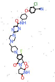 N#Cc1ccc(O[C@H]2CC[C@H](NC(=O)c3cnc(N4CCN(CC5CCN(c6cc7c(cc6F)C(=O)N(C6CCC(=O)NC6=O)C7=O)CC5)CC4)cn3)CC2)cc1Cl